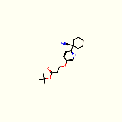 CC(C)(C)OC(=O)CCOc1ccc(C2(C#N)CCCCC2)nc1